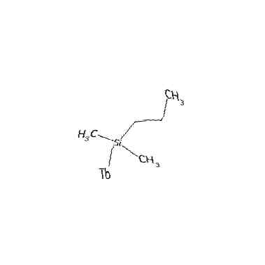 CCC[Si](C)(C)[Tb]